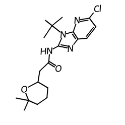 CC1(C)CCCC(CC(=O)Nc2nc3ccc(Cl)nc3n2C(C)(C)C)O1